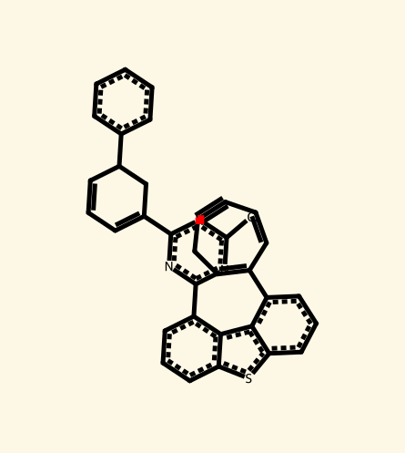 Clc1nc(C2=CC=CC(c3ccccc3)C2)nc(-c2cccc3sc4cccc(C5=CCC#CC=C5)c4c23)n1